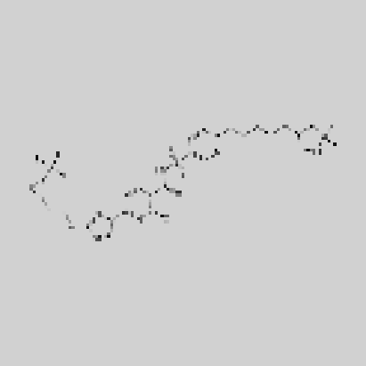 CC1(C)CC(CCCCCc2ccc(S(=O)(=O)NC(=O)c3ccc(-n4ccc(OCCC5CC5C(F)(F)F)n4)nc3Cl)cn2)CN1